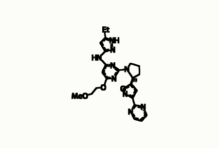 CCc1cc(Nc2cc(OCCOC)nc(N3CCC[C@H]3c3cc(-c4ncccn4)no3)n2)n[nH]1